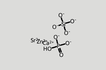 O=P([O-])([O-])O.[Ca+2].[O-][Si]([O-])([O-])[O-].[Sr+2].[Zn+2]